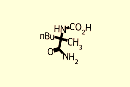 CCCCC(C)(NC(=O)O)C(N)=O